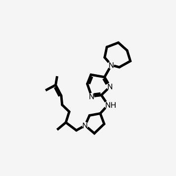 CC(C)=CCCC(C)CN1CCC(Nc2nccc(N3CCCCCC3)n2)C1